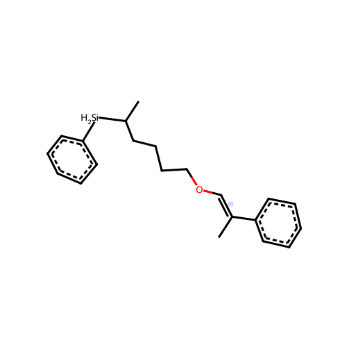 C/C(=C\OCCCCC(C)[SiH2]c1ccccc1)c1ccccc1